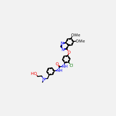 COc1cc2ncnc(Oc3ccc(NC(=O)Nc4cccc(CN(C)CCO)c4)c(Cl)c3)c2cc1OC